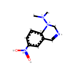 CN(C)N1CN=Cc2cc([N+](=O)[O-])ccc21